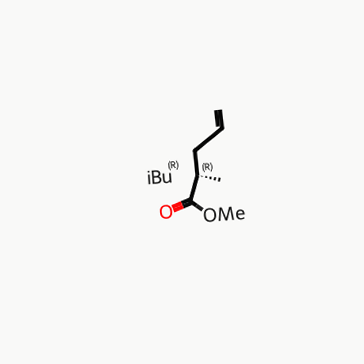 C=CC[C@@](C)(C(=O)OC)[C@H](C)CC